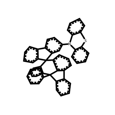 c1ccc(C23c4ccccc4-c4cccc(c42)C2(c4ccccc4-c4ccc(N5c6ccccc6Sc6ccccc65)cc42)c2ccccc23)cc1